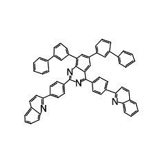 c1ccc(-c2cccc(-c3cc(-c4cccc(-c5ccccc5)c4)c4nc(-c5ccc(-c6ccc7ccccc7n6)cc5)nc(-c5ccc(-c6ccc7ccccc7n6)cc5)c4c3)c2)cc1